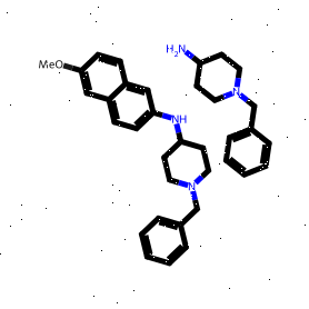 COc1ccc2cc(NC3CCN(Cc4ccccc4)CC3)ccc2c1.NC1CCN(Cc2ccccc2)CC1